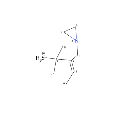 CC=C(CN1CC1)C(C)(C)[SiH3]